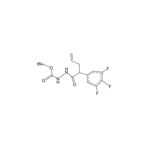 C=CCC(C(=O)NNC(=O)OC(C)(C)C)c1cc(F)c(F)c(F)c1